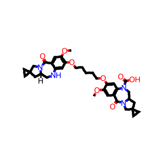 COc1cc2c(cc1OCCCCCOc1cc3c(cc1OC)C(=O)N1CC4(CC4)CC1CN3C(=O)O)NC[C@@H]1CC3(CC3)CN1C2=O